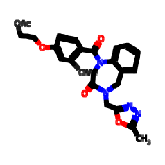 COc1cc(OCCOC(C)=O)ccc1C(=O)N1CC(=O)N(Cc2nnc(C)o2)Cc2ccccc21